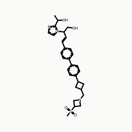 CC(O)c1nccn1C(/C=C/c1ccc(-c2ccc(C3CC(CN4CC(S(C)(=O)=O)C4)C3)cc2)cc1)CO